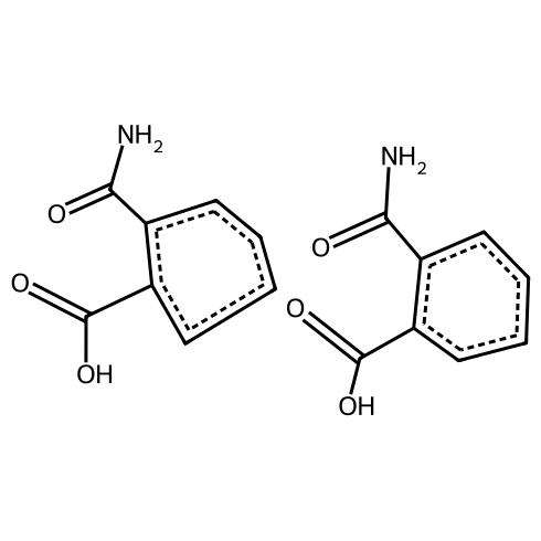 NC(=O)c1ccccc1C(=O)O.NC(=O)c1ccccc1C(=O)O